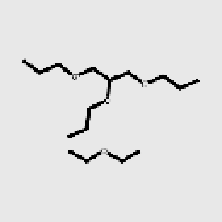 CCCOCC(COCCC)OCCC.CCOCC